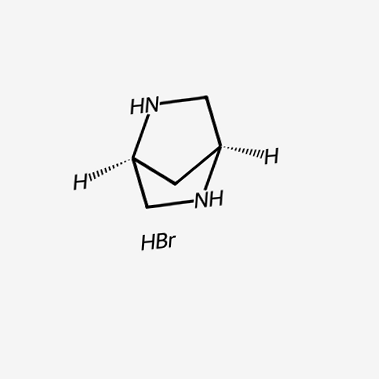 Br.C1N[C@@H]2CN[C@H]1C2